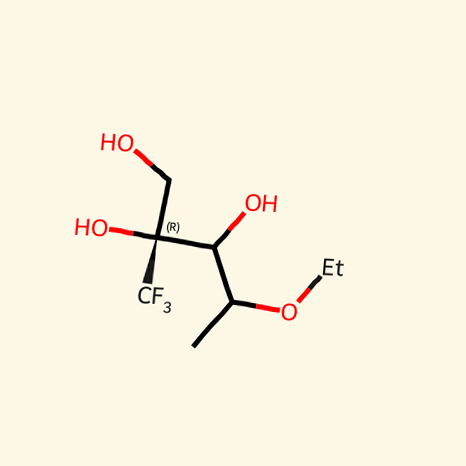 CCOC(C)C(O)[C@](O)(CO)C(F)(F)F